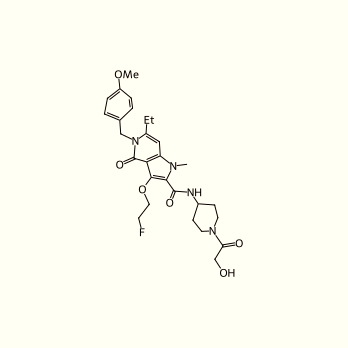 CCc1cc2c(c(OCCF)c(C(=O)NC3CCN(C(=O)CO)CC3)n2C)c(=O)n1Cc1ccc(OC)cc1